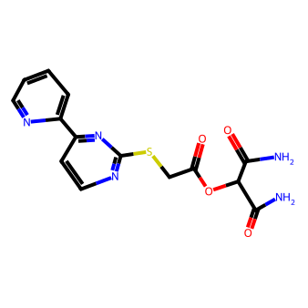 NC(=O)C(OC(=O)CSc1nccc(-c2ccccn2)n1)C(N)=O